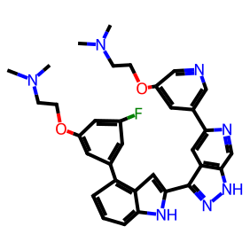 CN(C)CCOc1cncc(-c2cc3c(-c4cc5c(-c6cc(F)cc(OCCN(C)C)c6)cccc5[nH]4)n[nH]c3cn2)c1